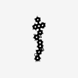 c1ccc(-c2c3ccccc3c(-c3ccc4sc5c(-c6ccc7cc8oc9cc%10c(cc9c8cc7c6)oc6ccccc6%10)cccc5c4c3)c3ccccc23)cc1